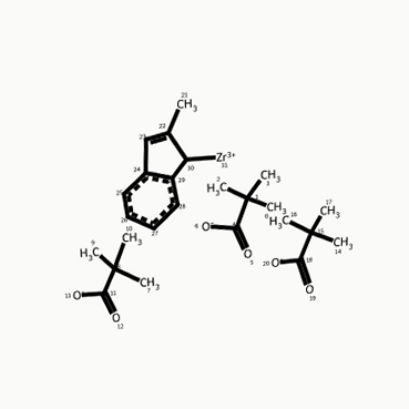 CC(C)(C)C(=O)[O-].CC(C)(C)C(=O)[O-].CC(C)(C)C(=O)[O-].CC1=Cc2ccccc2[CH]1[Zr+3]